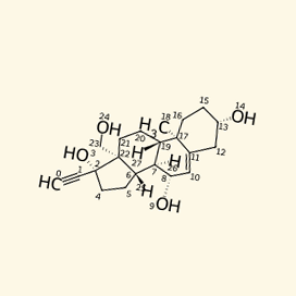 C#C[C@]1(O)CC[C@H]2[C@@H]3[C@@H](O)C=C4C[C@@H](O)CC[C@]4(C)[C@H]3CC[C@@]21CO